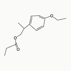 CCOc1ccc(C(C)COC(=O)CC)cc1